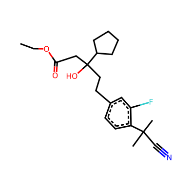 CCOC(=O)CC(O)(CCc1ccc(C(C)(C)C#N)c(F)c1)C1CCCC1